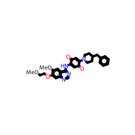 COCCOc1cc2ncnc(NC3=CC(=O)C(N4CCC(Cc5ccccc5)CC4)=CC3=O)c2cc1OC